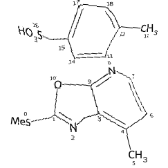 CSc1nc2c(C)ccnc2o1.Cc1ccc(S(=O)(=O)O)cc1